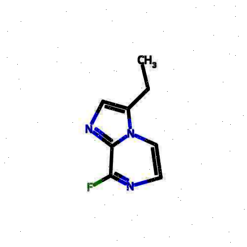 CCc1cnc2c(F)nccn12